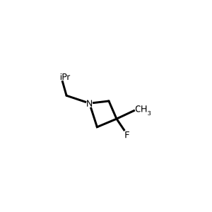 CC(C)CN1CC(C)(F)C1